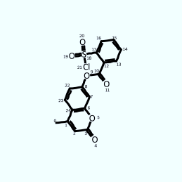 Cc1cc(=O)oc2cc(OC(=O)c3ccccc3S(=O)(=O)Cl)ccc12